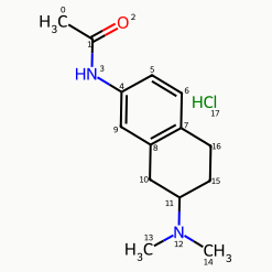 CC(=O)Nc1ccc2c(c1)CC(N(C)C)CC2.Cl